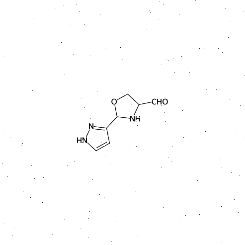 O=CC1COC(c2cc[nH]n2)N1